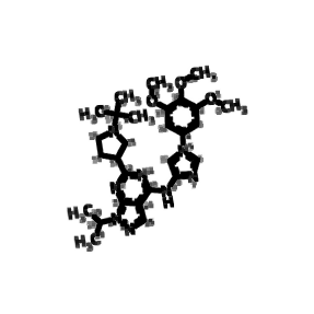 COc1cc(-n2cnc(Nc3nc(C4CCN(C(C)(C)C)C4)nc4c3cnn4C(C)C)c2)cc(OC)c1OC